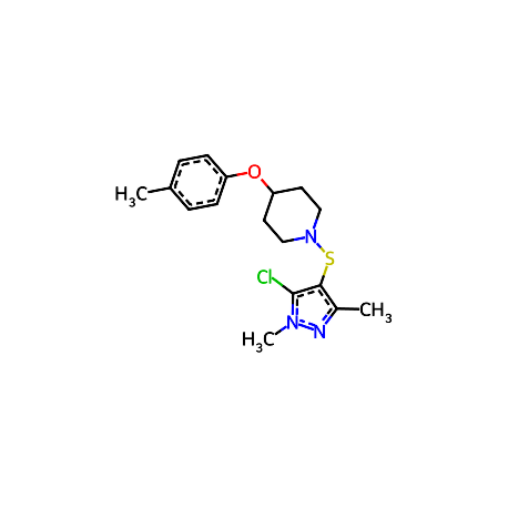 Cc1ccc(OC2CCN(Sc3c(C)nn(C)c3Cl)CC2)cc1